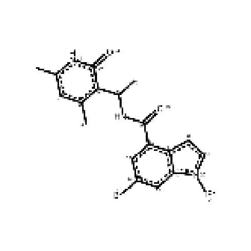 Cc1cc(C)c(C(C)NC(=O)c2cc(Br)cc3c2ccn3C(C)C)c(=O)[nH]1